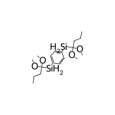 CCCC(OC)(OC)[SiH2]c1ccc([SiH2]C(CCC)(OC)OC)cc1